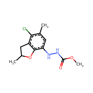 COC(=O)NNc1cc(C)c(Cl)c2c1OC(C)C2